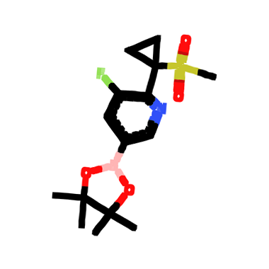 CC1(C)OB(c2cnc(C3(S(C)(=O)=O)CC3)c(F)c2)OC1(C)C